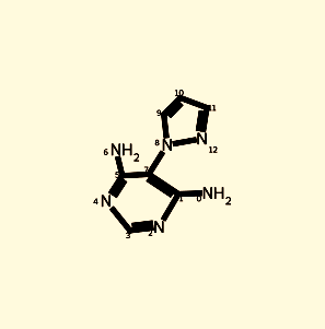 Nc1ncnc(N)c1-n1cccn1